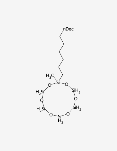 CCCCCCCCCCCCCCCC[Si]1(C)O[SiH2]O[SiH2]O[SiH2]O[SiH2]O[SiH2]O1